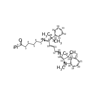 CC(C)C(=O)CCCCC\N=C(/C=C/C=C/C=C1/N(C)c2ccccc2C1(C)C)C(C)(C)c1ccccc1